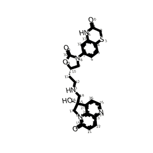 O=C1CSc2ccc(N3C[C@H](CCNC[C@]4(O)Cn5c(=O)ccc6nccc4c65)OC3=O)cc2N1